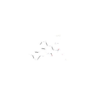 NCOC(=O)c1c(N2CCNCC2)c2ccccc2n(Cc2ccc(F)cc2)c1=O